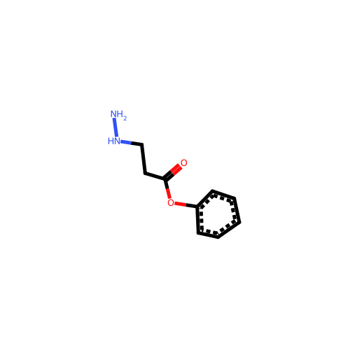 NNCCC(=O)Oc1ccccc1